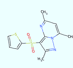 Cc1cc(C)n2nc(C)c(S(=O)(=O)c3cccs3)c2n1